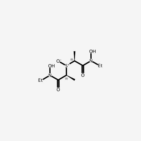 CCN(O)C(=O)[C@H](C)[S+]([O-])[C@@H](C)C(=O)N(O)CC